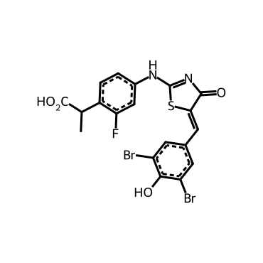 CC(C(=O)O)c1ccc(NC2=NC(=O)C(=Cc3cc(Br)c(O)c(Br)c3)S2)cc1F